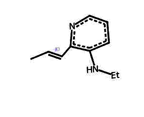 C/C=C/c1ncccc1NCC